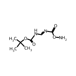 CC(C)(C)OC(=O)NC=NC(=O)ON